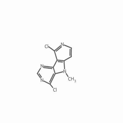 Cn1c2ccnc(Cl)c2c2ncnc(Cl)c21